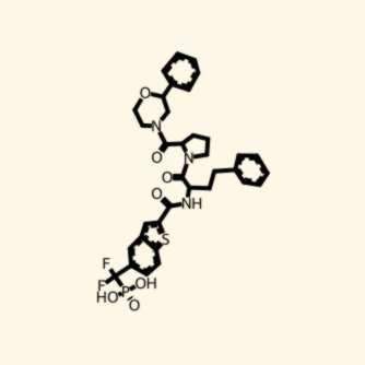 O=C(NC(CCc1ccccc1)C(=O)N1CCCC1C(=O)N1CCOC(c2ccccc2)C1)c1cc2cc(C(F)(F)P(=O)(O)O)ccc2s1